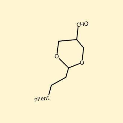 CCCCCCCC1OCC(C=O)CO1